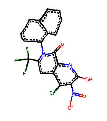 O=c1c2nc(O)c([N+](=O)[O-])c(Cl)c2cc(C(F)(F)F)n1-c1cccc2ccccc12